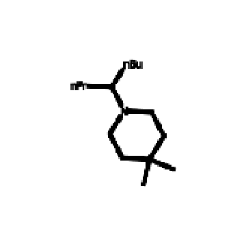 CCCCC(CCC)N1CCC(C)(C)CC1